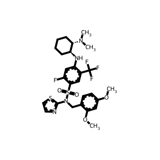 COc1ccc(CN(c2nccs2)S(=O)(=O)c2cc(C(F)(F)F)c(N[C@H]3CCCC[C@@H]3N(C)C)cc2F)c(OC)c1